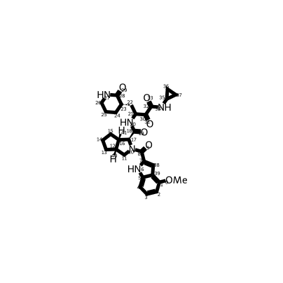 COc1cccc2[nH]c(C(=O)N3C[C@@H]4CCC[C@@H]4[C@H]3C(=O)NC(C[C@@H]3CCCNC3=O)C(=O)C(=O)NC3CC3)cc12